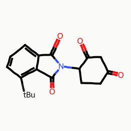 CC(C)(C)c1cccc2c1C(=O)N(C1CCC(=O)CC1=O)C2=O